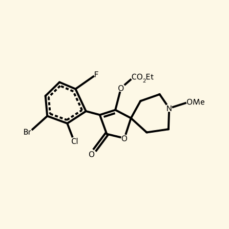 CCOC(=O)OC1=C(c2c(F)ccc(Br)c2Cl)C(=O)OC12CCN(OC)CC2